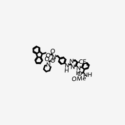 CONC(=O)c1ccccc1Nc1nc(Nc2ccc(CN(OC(=O)N3CCCCC3)C(=O)OCC3c4ccccc4-c4ccccc43)cc2)ncc1C(F)(F)F